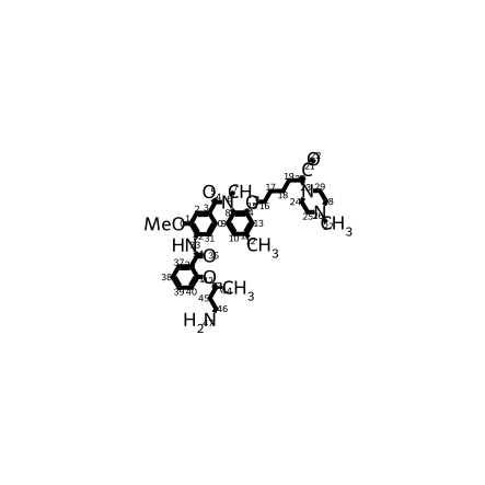 COc1cc(C(=O)N(C)c2ccc(C)cc2OCCCCC(=C=O)N2CCN(C)CC2)ccc1NC(=O)c1ccccc1O[C@@H](C)CCN